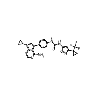 Nc1ncnc2c1c(-c1ccc(NC(=O)Nc3cc(C4(C(F)(F)F)CC4)no3)cc1)cn2C1CC1